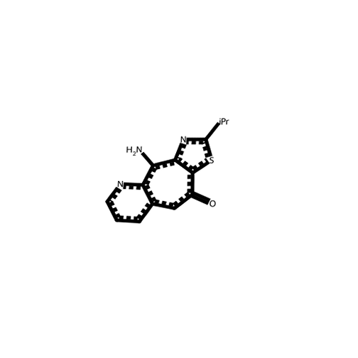 CC(C)c1nc2c(N)c3ncccc3cc(=O)c2s1